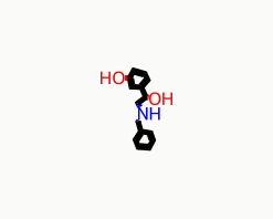 Oc1cccc(C(O)CNCc2ccccc2)c1